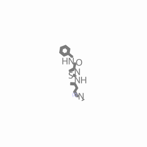 C=N/C=C\CC(=C)Nc1nc(C(=O)NCc2ccccc2)cs1